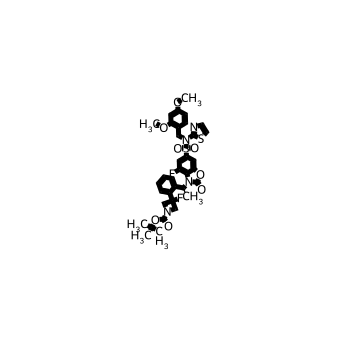 COc1ccc(CN(c2nccs2)S(=O)(=O)c2cc(F)c3c(c2)oc(=O)n3[C@H](C)c2ccccc2C2(F)CN(C(=O)OC(C)(C)C)C2)c(OC)c1